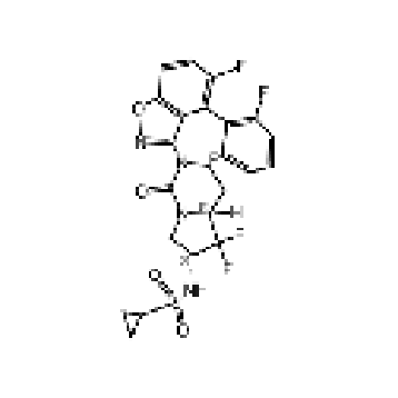 O=C1N(c2noc3ccc(F)c(-c4c(F)cccc4F)c23)CC[C@H]2N1C[C@@H](NS(=O)(=O)C1CC1)C2(F)F